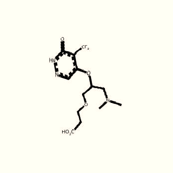 CN(C)CC(COCCC(=O)O)Oc1cn[nH]c(=O)c1C(F)(F)F